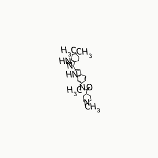 CN1CCC(C(=O)N(C)c2ccc3cc(-c4n[nH]c5c4CCC(C)(C)C5)[nH]c3c2)CC1